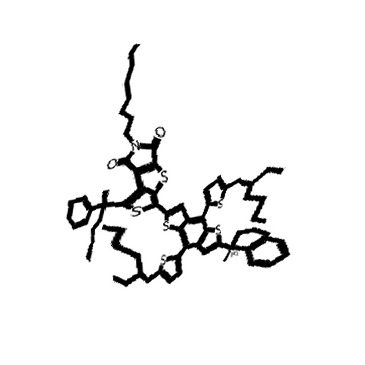 CCCCCCCCN1C(=O)c2sc3c(-c4cc5c(-c6ccc(CC(CC)CCCC)s6)c6sc([C@](C)(CCC)c7ccccc7)cc6c(-c6ccc(CC(CC)CCCC)s6)c5s4)sc(C(C)(CCCC)c4ccccc4)c3c2C1=O